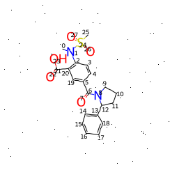 CN(c1ccc(C(=O)N2CCCC2c2ccccc2)cc1C(=O)O)S(C)(=O)=O